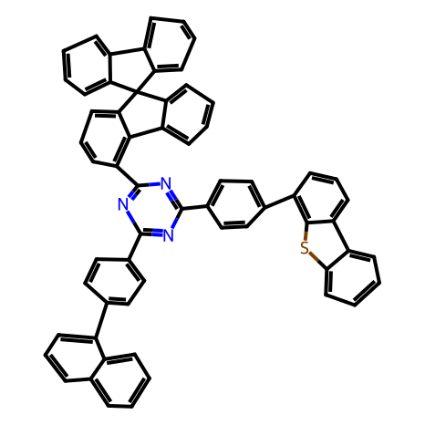 c1ccc2c(c1)-c1ccccc1C21c2ccccc2-c2c(-c3nc(-c4ccc(-c5cccc6ccccc56)cc4)nc(-c4ccc(-c5cccc6c5sc5ccccc56)cc4)n3)cccc21